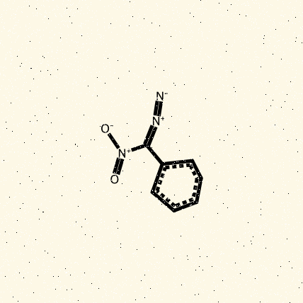 [N-]=[N+]=C(c1ccccc1)[N+](=O)[O-]